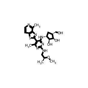 CO[C@@H](C)CNc1nc(C)c(-c2nc3c(C)nccc3s2)c(N[C@@H]2C[C@H](CO)[C@@H](O)[C@H]2O)n1